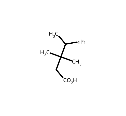 CCCC(C)C(C)(C)CC(=O)O